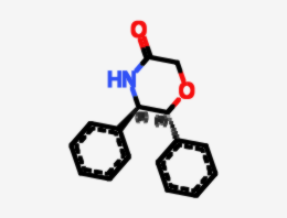 O=C1CO[C@H](c2ccccc2)[C@@H](c2ccccc2)N1